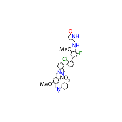 COc1cc(Cn2ncc3c(-c4cccc(-c5cc(F)c(CNCC6CCC(=O)N6)c(OC)c5)c4Cl)cccc32)c([N+](=O)[O-])cc1CN(C)C1CCCCC1